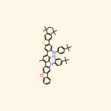 Cc1cc(-c2cc3sc4cc5c(cc4c3cc2Nc2ccc(C(C)(C)C)cc2)C(C)(C)CCC5(C)C)c2c3c1c1cc4oc5ccccc5c4cc1n3-c1ccc(C(C)(C)C)cc1B2